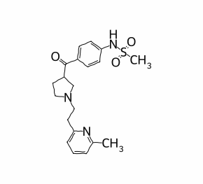 Cc1cccc(CCN2CCC(C(=O)c3ccc(NS(C)(=O)=O)cc3)C2)n1